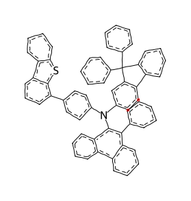 c1ccc(-c2c(N(c3ccc(-c4cccc5c4sc4ccccc45)cc3)c3ccc4c(c3)C(c3ccccc3)(c3ccccc3)c3ccccc3-4)c3ccccc3c3ccccc23)cc1